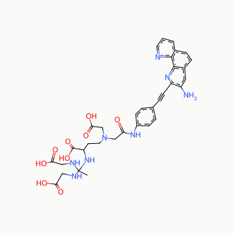 CC(NCC(=O)O)(NCC(=O)O)NC(CCN(CC(=O)O)CC(=O)Nc1ccc(C#Cc2nc3c(ccc4cccnc43)cc2N)cc1)C(=O)O